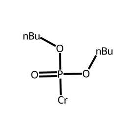 CCCCO[P](=O)([Cr])OCCCC